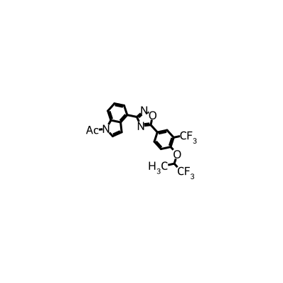 CC(=O)n1ccc2c(-c3noc(-c4ccc(OC(C)C(F)(F)F)c(C(F)(F)F)c4)n3)cccc21